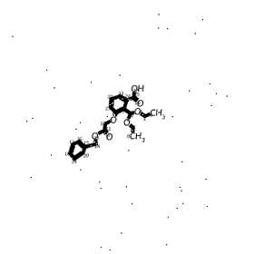 CCOC(OCC)c1c(OCC(=O)OCc2ccccc2)cccc1C(=O)O